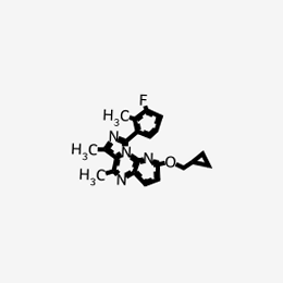 Cc1c(F)cccc1-c1nc(C)c2c(C)nc3ccc(OCC4CC4)nc3n12